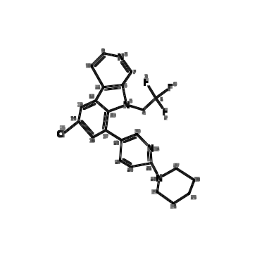 FC(F)(F)Cn1c2cnccc2c2cc(Cl)cc(-c3ccc(N4CCCCC4)nc3)c21